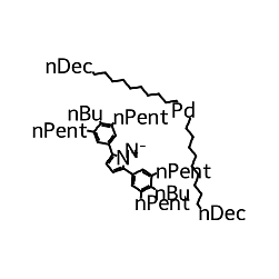 CCCCCCCCCCCCCCCCCCC[CH2][Pd][CH2]CCCCCCCCCCCCCCCCCCC.CCCCCc1cc(C2=CC=C(c3cc(CCCCC)c(CCCC)c(CCCCC)c3)[N+]2=[N-])cc(CCCCC)c1CCCC